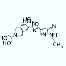 CCCNc1ncc(-c2nc(-c3ccc4c(c3)CCN(C(CO)CO)CC4)no2)cc1C#N.Cl.Cl